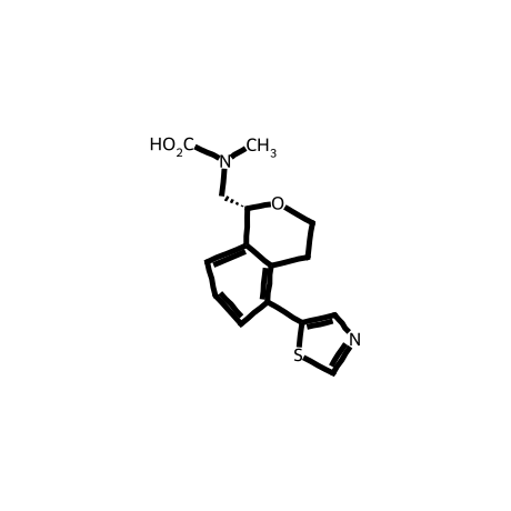 CN(C[C@@H]1OCCc2c(-c3cncs3)cccc21)C(=O)O